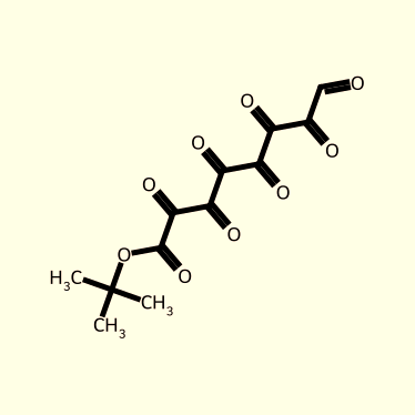 CC(C)(C)OC(=O)C(=O)C(=O)C(=O)C(=O)C(=O)C(=O)C=O